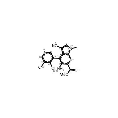 COC(=O)c1nc2c(c(C#N)cn2C)c(-c2cncc(Cl)c2Cl)c1N